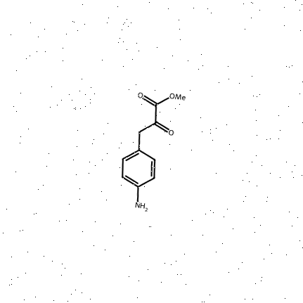 COC(=O)C(=O)Cc1ccc(N)cc1